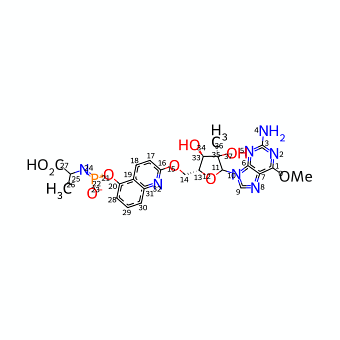 COc1nc(N)nc2c1ncn2C1O[C@H](COc2ccc3c(O/[P+]([O-])=N/C(C)C(=O)O)cccc3n2)[C@@H](O)[C@@]1(C)O